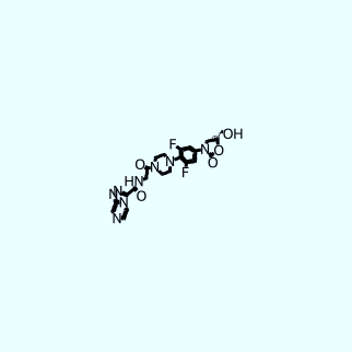 O=C(NCC(=O)N1CCN(c2c(F)cc(N3C[C@H](CO)OC3=O)cc2F)CC1)c1nnc2cnccn12